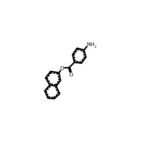 Nc1ccc(C(=O)Oc2ccc3ccccc3c2)cc1